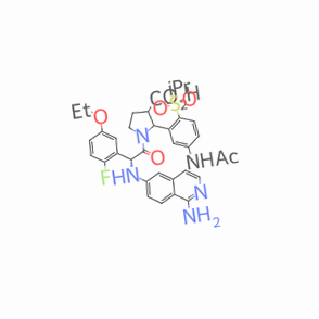 CCOc1ccc(F)c([C@H](Nc2ccc3c(N)nccc3c2)C(=O)N2CCC(C(=O)O)C2c2cc(NC(C)=O)ccc2S(=O)(=O)C(C)C)c1